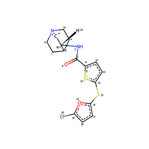 O=C(N[C@H]1CN2CCC1CC2)c1ccc(Sc2ccc(Cl)o2)s1